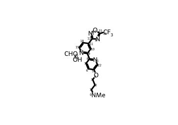 CNCCCOc1ccc(-c2cc(-c3noc(C(F)(F)F)n3)ccn2)nc1.O=CO